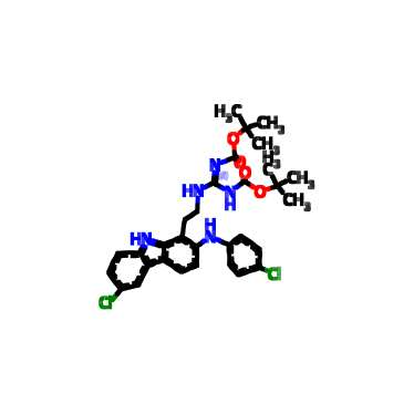 CC(C)(C)OC(=O)/N=C(/NCCc1c(Nc2ccc(Cl)cc2)ccc2c1[nH]c1ccc(Cl)cc12)NC(=O)OC(C)(C)C